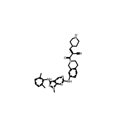 Cc1cccc(C)c1Nc1nn(C)c2nc(Nc3ccc4c(c3)CN(C(=O)/C(C#N)=C/C3CCNCC3)CC4)ncc12